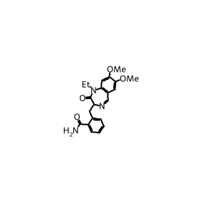 CCN1C(=O)C(Cc2ccccc2C(N)=O)N=Cc2cc(OC)c(OC)cc21